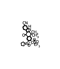 CC1(C)c2cc(OS(=O)(=O)C(F)(F)F)c([S+]([O-])N3CCCC3)cc2C(=O)c2c1[nH]c1cc(C#N)ccc21